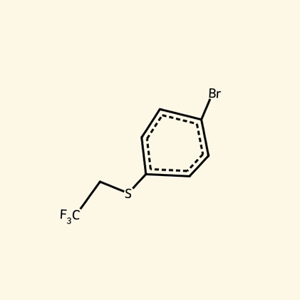 FC(F)(F)CSc1ccc(Br)cc1